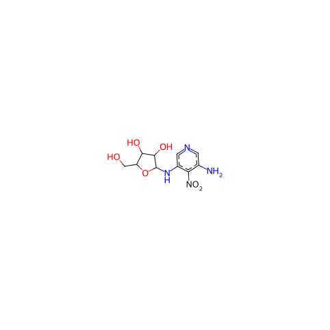 Nc1cncc(NC2OC(CO)C(O)C2O)c1[N+](=O)[O-]